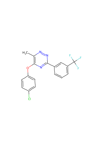 Cc1nnc(-c2cccc(C(F)(F)F)c2)nc1Oc1ccc(Cl)cc1